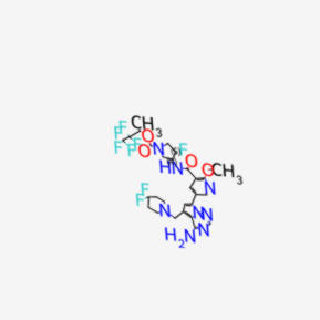 COc1ncc(-c2cc(CN3CCC(F)(F)CC3)c3c(N)ncnn23)cc1C(=O)N[C@@H]1CN(C(=O)OC(C)C(F)(F)C(F)(F)F)C[C@@H]1F